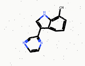 N#Cc1cccc2c(-c3cnccn3)c[nH]c12